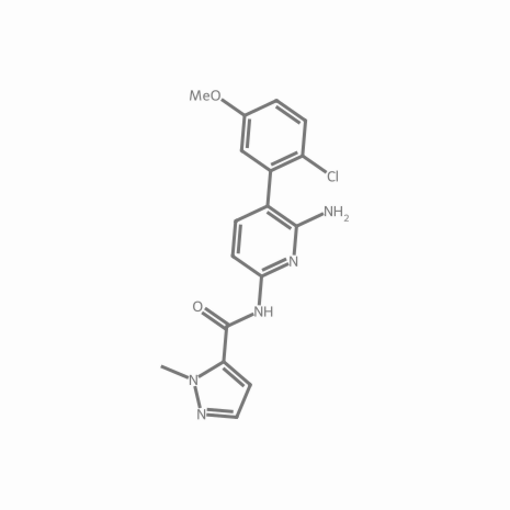 COc1ccc(Cl)c(-c2ccc(NC(=O)c3ccnn3C)nc2N)c1